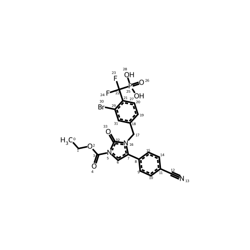 CCOC(=O)n1cc(-c2ccc(C#N)cc2)n(Cc2ccc(C(F)(F)P(=O)(O)O)c(Br)c2)c1=O